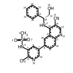 CS(=O)(=O)Nc1cc(-c2ccc3ncc(C#N)c(N[C@@H](CO)c4ccccc4)c3c2)cnc1Cl